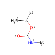 CCNC(=O)OC([SiH3])CC